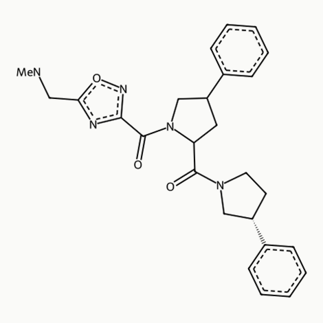 CNCc1nc(C(=O)N2CC(c3ccccc3)CC2C(=O)N2CC[C@H](c3ccccc3)C2)no1